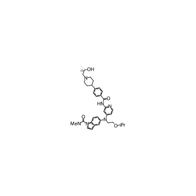 CNC(=O)n1ccc2cc(N(CCOC(C)C)c3ccnc(NC(=O)c4ccc(C5CCN(C[C@H](C)O)CC5)cc4)c3)ccc21